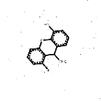 O=CC1c2cccc(O)c2Oc2cccc(F)c21